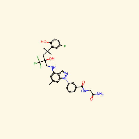 Cc1cc(NCC(O)(CC(C)(C)c2cc(F)ccc2O)C(F)(F)F)c2cnn(-c3cccc(C(=O)NCC(N)=O)c3)c2c1